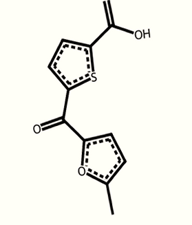 Cc1ccc(C(=O)c2ccc(C(=O)O)s2)o1